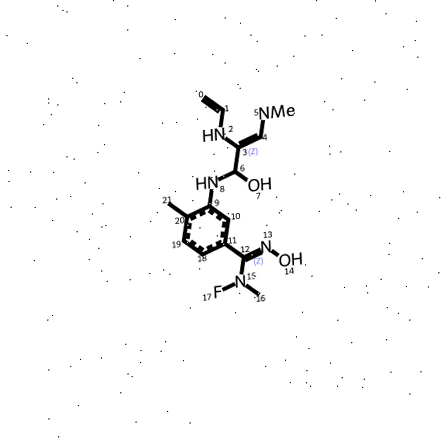 C=CN/C(=C\NC)C(O)Nc1cc(/C(=N/O)N(C)F)ccc1C